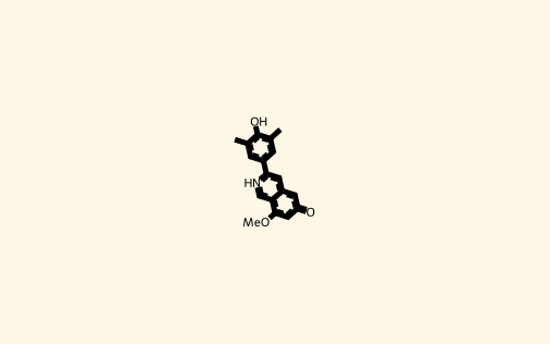 COc1cc(=O)cc2cc(-c3cc(C)c(O)c(C)c3)[nH]cc1-2